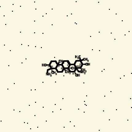 C[C@H]1[C@H](O)C(C)(C)CC2C3=CCC4[C@@]5(C)CC[C@H](O)[C@](C)(CN)C5CC[C@@]4(C)[C@]3(C)C[C@@H](O)[C@]21CN